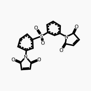 O=C1C=CC(=O)N1c1cccc(S(=O)(=O)c2cccc(N3C(=O)C=CC3=O)c2)c1